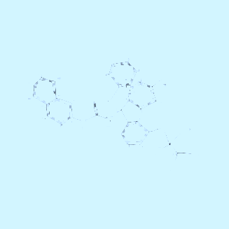 O=C(N[C@](Cc1ccccc1)(c1cccc(OC(F)(F)C(F)F)c1)c1ccc(Cl)cn1)Oc1ccc2ccccc2c1